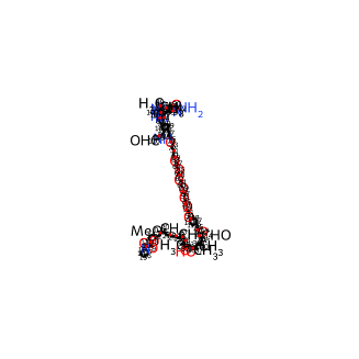 COC(CC1CCCC(C(=O)C(=O)N2CCCCC2)O1)/C(C)=C/C=C/C=C/C(C)CC(C)C(=O)CC(O)/C(C)=C/C(C)CCC(CCC1CCC(OCCOCCOCCOCCOCCOCCOCCCCCOCCCc2ccc(Cn3nc(-c4ccc5oc(N)nc5c4)c4c(N(C)C)ncnc43)cc2CCNC=O)CC1)OC=O